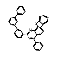 c1ccc(-c2cccc(-c3cccc(-c4nc(-c5ccccc5)c5ccc6c7ccccc7sc6c5n4)c3)c2)cc1